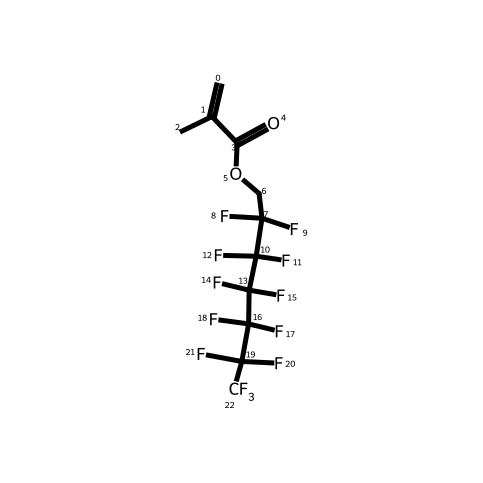 C=C(C)C(=O)OCC(F)(F)C(F)(F)C(F)(F)C(F)(F)C(F)(F)C(F)(F)F